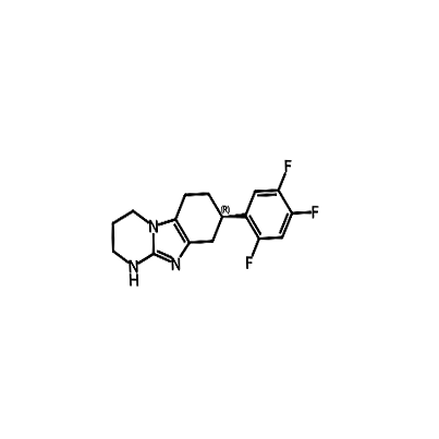 Fc1cc(F)c([C@@H]2CCc3c(nc4n3CCCN4)C2)cc1F